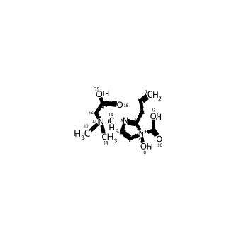 C=CCC1=NC=C[N+]1(O)C(=O)O.C[N+](C)(C)CC(=O)O